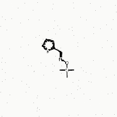 C[Si](C)(C)ON=Cc1cccs1